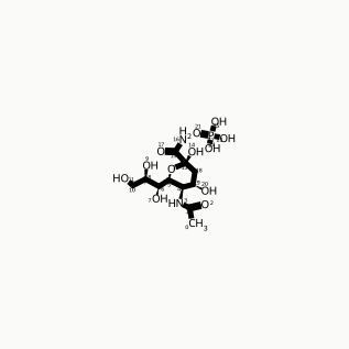 CC(=O)N[C@H]1[C@H]([C@H](O)[C@H](O)CO)O[C@](O)(C(N)=O)C[C@@H]1O.O=P(O)(O)O